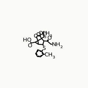 CCC1(C(=O)O)C(C(=O)CN)C(Sc2ccccc2C)C2C(C(=O)O)C21CC